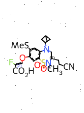 CSc1cc2c(cc1O/C=C(\F)C(=O)O)S(=O)(=O)N(C)[C@H](CCC#N)CN2C12CC(C1)C2